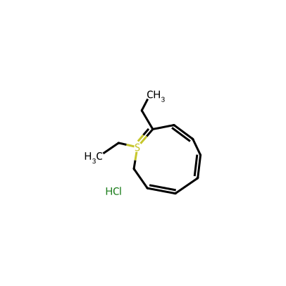 CCC1=S(CC)CC=CC=CC=C1.Cl